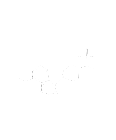 COc1cccc2c(N3CCC(C(C)P(=O)(O)O)CC3)ncnc12